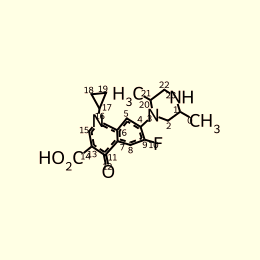 CC1CN(c2cc3c(cc2F)c(=O)c(C(=O)O)cn3C2CC2)C(C)CN1